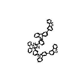 c1ccc(-c2ccccc2-c2nc(-c3cccc(-n4c5ccccc5c5cc(-c6ccc7sc8ccccc8c7c6)ccc54)c3)nc(-c3cccc(-n4c5ccccc5c5cc(-c6ccc7sc8ccccc8c7c6)ccc54)c3)n2)cc1